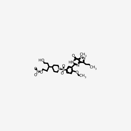 CCCc1nn(C)c2c(=O)[nH]c(-c3cc(S(=O)(=O)N4CCC(C(CCO)CCO[N+](=O)[O-])CC4)ccc3OCC)nc12